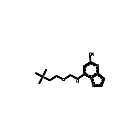 C[Si](C)(C)CCOCNc1cc(C#N)nc2ccnn12